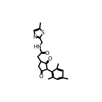 Cc1cc(C)c(C2C(=O)CC(CC(=O)NCc3ncc(C)s3)C2=O)c(C)c1